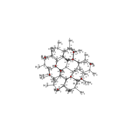 BBB(B(B)B)B(B(B(B)B)B(B)B)B(B(B(B)B)B(B)B)B(B(B(B(B(B)B)B(B)B)B(B(B)B)B(B)B)B(B(B(B)B)B(B)B)B(B(B)B)B(B)B)B(B(B(B(B)B)B(B)B)B(B(B)B)B(B)B)B(B(B(B)B)B(B)B)B(B(B)B)B(B)B